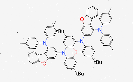 Cc1ccc(N(c2ccc(C)cc2)c2cc(N3c4ccc(C(C)(C)C)cc4B4c5cc(C(C)(C)C)ccc5N(c5cc(N(c6ccc(C)cc6)c6ccc(C)cc6)c6c(c5)oc5ccccc56)c5cc(C(C)(C)C)cc3c54)cc3oc4ccccc4c23)cc1